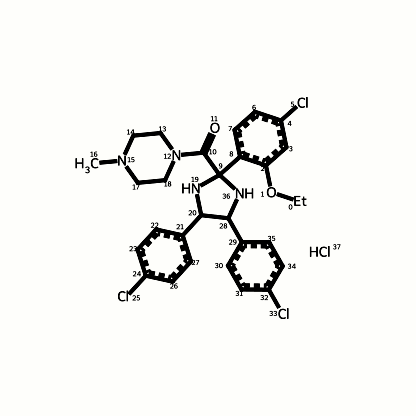 CCOc1cc(Cl)ccc1C1(C(=O)N2CCN(C)CC2)NC(c2ccc(Cl)cc2)C(c2ccc(Cl)cc2)N1.Cl